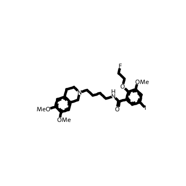 COc1cc2c(cc1OC)CN(CCCCNC(=O)c1cc(I)cc(OC)c1OCCF)CC2